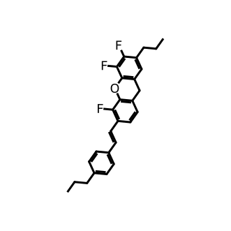 CCCc1ccc(/C=C/c2ccc3c(c2F)Oc2c(cc(CCC)c(F)c2F)C3)cc1